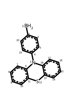 Bc1ccc(N2c3ccccc3Sc3ccccc32)cc1